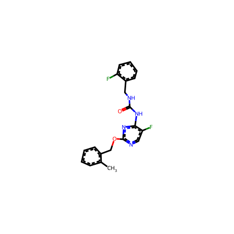 Cc1ccccc1COc1ncc(F)c(NC(=O)NCc2ccccc2F)n1